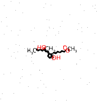 CCCCCC(C)(O)CC=C1CC[C@H](O)[C@@H]1CCCCCCC(=O)OC